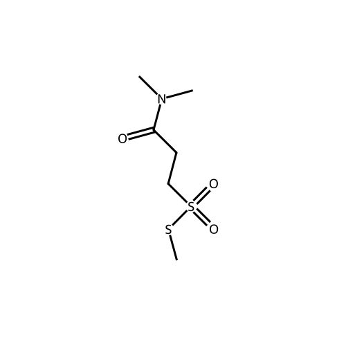 CSS(=O)(=O)CCC(=O)N(C)C